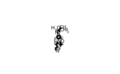 CC(C)(C)c1cnn(-c2cc(F)c(N3C(=O)C4(CC4)n4c(-c5ccncn5)cnc43)c(F)c2)c1